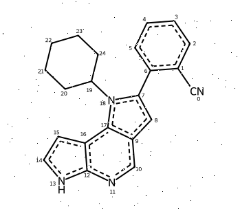 N#Cc1ccccc1-c1cc2cnc3[nH]ccc3c2n1C1CCCCC1